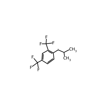 CC(C)[CH]c1ccc(C(F)(F)F)cc1C(F)(F)F